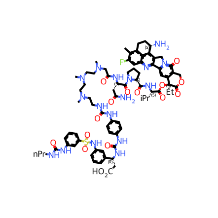 CCCNC(=O)Nc1cccc(S(=O)(=O)Nc2cccc([C@@H](CC(=O)O)NC(=O)Nc3ccc(NC(=O)NCCN(C)CCN(C)CCN(C)CC(=O)N[C@@H](CC(N)=O)C(=O)N4CCC[C@H]4C(=O)N[C@H](C(=O)O[C@]4(CC)C(=O)OCc5c4cc4n(c5=O)Cc5c-4nc4cc(F)c(C)c6c4c5[C@@H](N)CC6)C(C)C)cc3)c2)c1